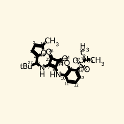 Cc1ccc(C(Nc2c(Nc3cccc(S(=O)(=O)N(C)C)c3O)c(=O)c2=O)C(C)(C)C)o1